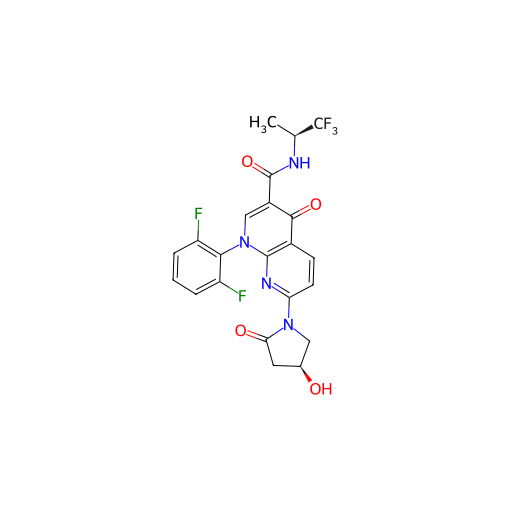 C[C@H](NC(=O)c1cn(-c2c(F)cccc2F)c2nc(N3C[C@@H](O)CC3=O)ccc2c1=O)C(F)(F)F